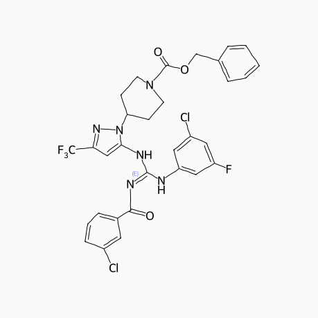 O=C(/N=C(\Nc1cc(F)cc(Cl)c1)Nc1cc(C(F)(F)F)nn1C1CCN(C(=O)OCc2ccccc2)CC1)c1cccc(Cl)c1